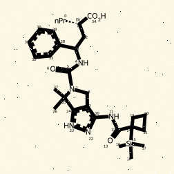 CCC[C@@H](CC(NC(=O)N1Cc2c(NC(=O)C3([Si](C)(C)C)CCC3)n[nH]c2C1(C)C)c1ccccc1)C(=O)O